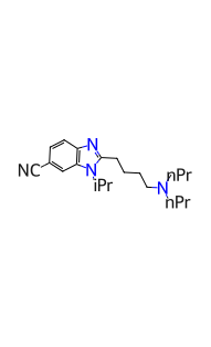 CCCN(CCC)CCCCc1nc2ccc(C#N)cc2n1C(C)C